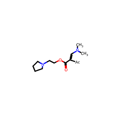 CC(=O)C(=CN(C)C)C(=O)OCCN1CCCC1